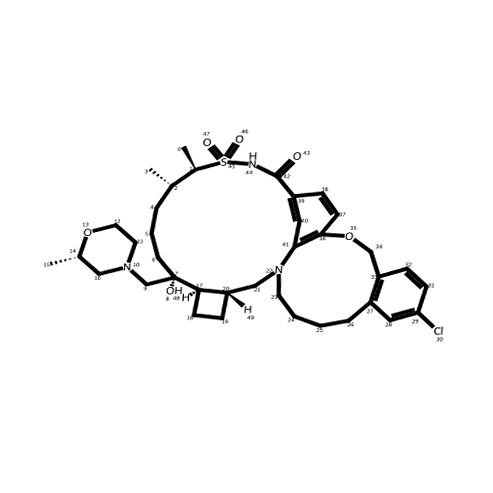 C[C@@H]1[C@@H](C)CCC[C@](O)(CN2CCO[C@@H](C)C2)[C@@H]2CC[C@H]2CN2CCCCc3cc(Cl)ccc3COc3ccc(cc32)C(=O)NS1(=O)=O